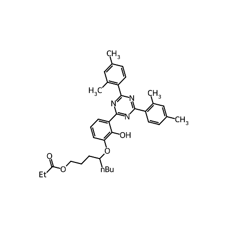 CCCCC(CCCOC(=O)CC)Oc1cccc(-c2nc(-c3ccc(C)cc3C)nc(-c3ccc(C)cc3C)n2)c1O